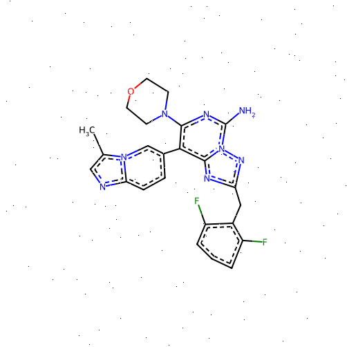 Cc1cnc2ccc(-c3c(N4CCOCC4)nc(N)n4nc(Cc5c(F)cccc5F)nc34)cn12